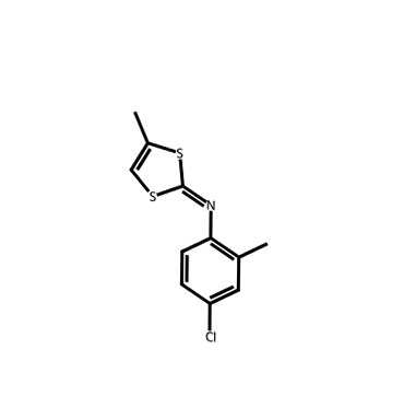 Cc1csc(=Nc2ccc(Cl)cc2C)s1